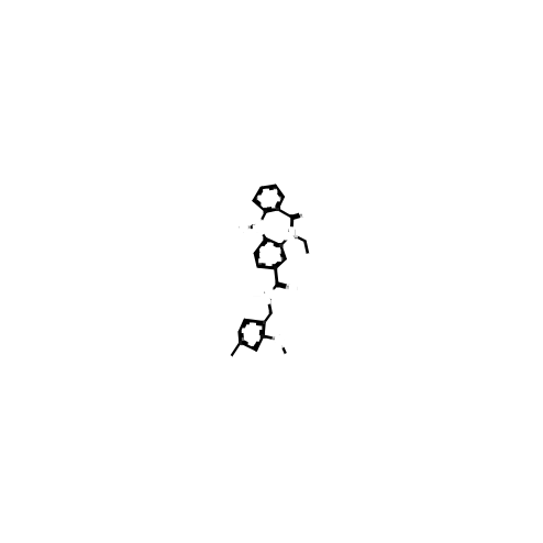 CCN1C(=O)c2ccccc2[S+]([O-])c2ccc(C(=O)NCc3ccc(C)cc3OC)cc21